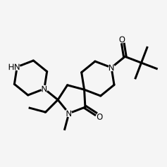 CCC1(N2CCNCC2)CC2(CCN(C(=O)C(C)(C)C)CC2)C(=O)N1C